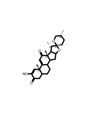 C[C@@H]1CC[C@@]2(OC1)OC1CC3C4CCC5CC(=O)C(C#N)=C[C@]5(C)C4=CC(=O)[C@]3(C)C1[C@@H]2C